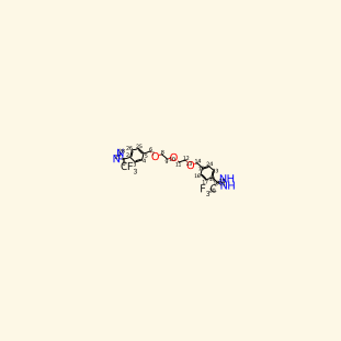 FC(F)(F)C1(c2ccc(COCCOCCOCc3ccc(C4(C(F)(F)F)NN4)cc3)cc2)N=N1